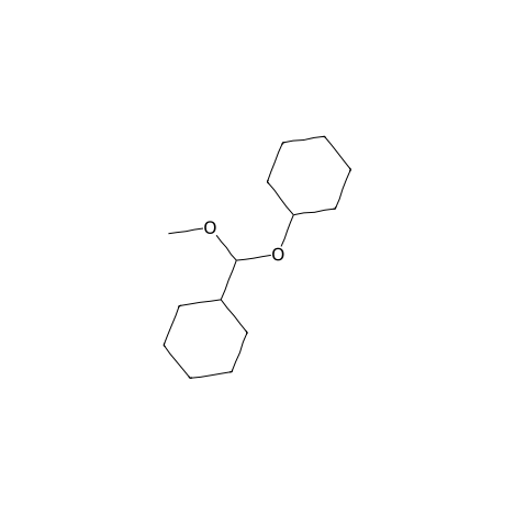 COC(OC1CCCCC1)C1CCCCC1